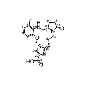 COc1cccc(C)c1NC[C@H]1CCC(=O)N1CCSc1nc(C(=O)O)cs1